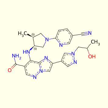 CC(O)Cn1cc(-c2cn3ncc(C(N)=O)c(N[C@@H]4CN(c5ccc(C#N)cn5)C[C@@H]4C)c3n2)cn1